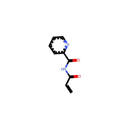 C=CC(=O)NC(=O)c1ccccn1